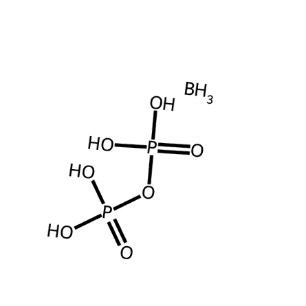 B.O=P(O)(O)OP(=O)(O)O